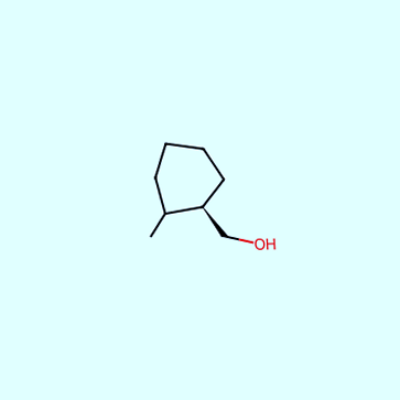 CC1CCCC[C@H]1CO